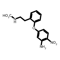 Nc1cc(Oc2ccccc2CCNC(=O)O)ccc1[N+](=O)[O-]